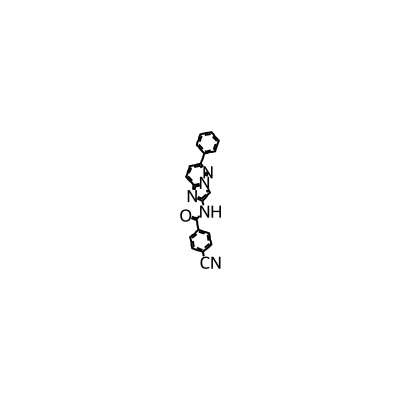 N#Cc1ccc(C(=O)Nc2cn3nc(-c4ccccc4)ccc3n2)cc1